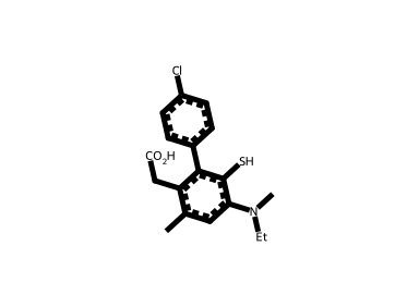 CCN(C)c1cc(C)c(CC(=O)O)c(-c2ccc(Cl)cc2)c1S